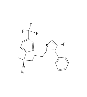 C#CC(C)(CCCc1scc(F)c1-c1ccccc1)c1ccc(C(F)(F)F)cc1